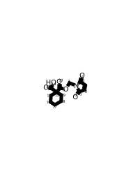 O=C1C=CC(=O)N1COC(=O)C1(C(=O)O)CCCCC1